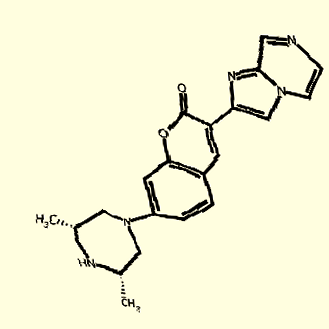 C[C@@H]1CN(c2ccc3cc(-c4cn5ccncc5n4)c(=O)oc3c2)C[C@H](C)N1